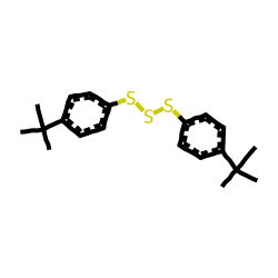 CC(C)(C)c1ccc(SSSc2ccc(C(C)(C)C)cc2)cc1